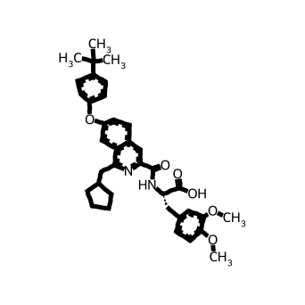 COc1ccc(C[C@H](NC(=O)c2cc3ccc(Oc4ccc(C(C)(C)C)cc4)cc3c(CC3CCCC3)n2)C(=O)O)cc1OC